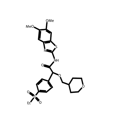 CCS(=O)(=O)c1ccc(C(OCC2CCOCC2)C(=O)Nc2nc3cc(OC)c(OC)cc3s2)cc1